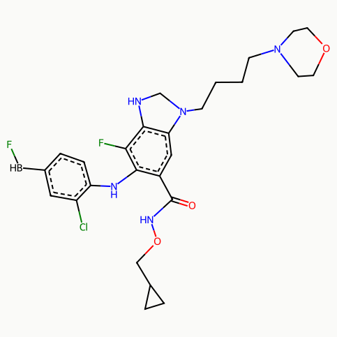 O=C(NOCC1CC1)c1cc2c(c(F)c1Nc1ccc(BF)cc1Cl)NCN2CCCCN1CCOCC1